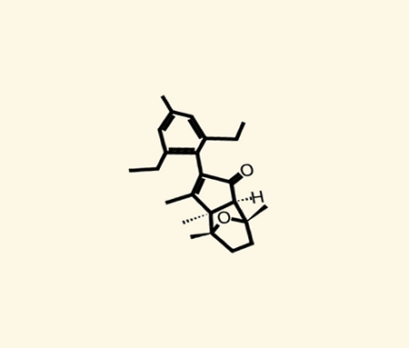 CCc1cc(C)cc(CC)c1C1=C(C)[C@@]2(C)[C@@H](C1=O)[C@]1(C)CC[C@@]2(C)O1